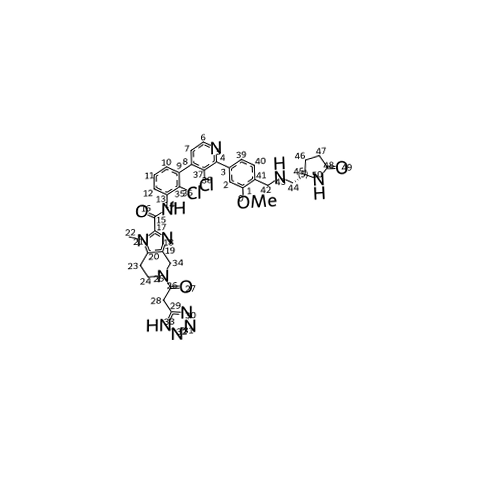 COc1cc(-c2nccc(-c3cccc(NC(=O)c4nc5c(n4C)CCN(C(=O)Cc4nnn[nH]4)C5)c3Cl)c2Cl)ccc1CNC[C@@H]1CCC(=O)N1